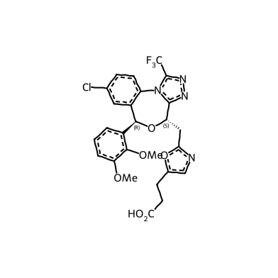 COc1cccc([C@@H]2O[C@@H](Cc3ncc(CCC(=O)O)o3)c3nnc(C(F)(F)F)n3-c3ccc(Cl)cc32)c1OC